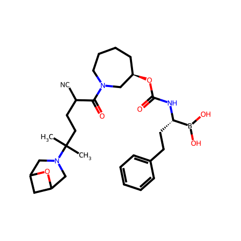 CC(C)(CCC(C#N)C(=O)N1CCCC[C@@H](OC(=O)N[C@@H](CCc2ccccc2)B(O)O)C1)N1CC2CC(C1)O2